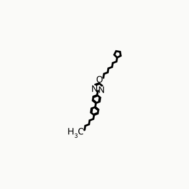 CCCCCCc1ccc(-c2ccc(-c3ncc(OCCCCCCCC4CCCC4)cn3)cc2)cc1